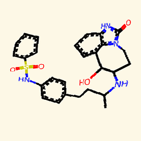 CC(CCc1ccc(NS(=O)(=O)c2ccccc2)cc1)NC1CCn2c(=O)[nH]c3cccc(c32)C1O